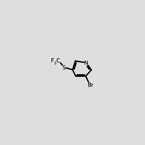 FC(F)(F)Sc1cncc(Br)c1